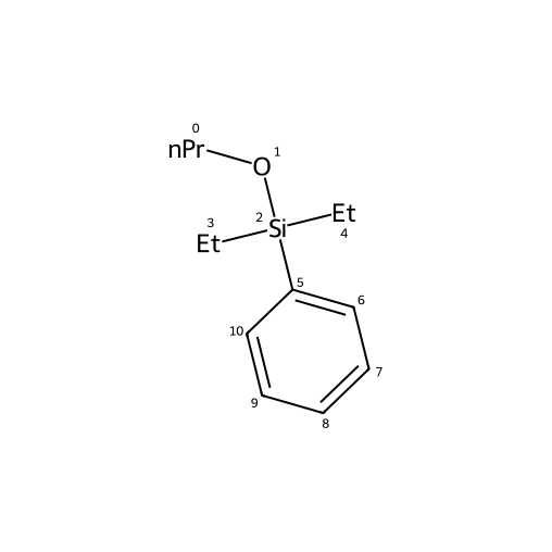 CCCO[Si](CC)(CC)c1ccccc1